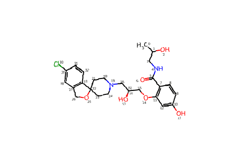 CC(O)CNC(=O)c1ccc(O)cc1OC[C@@H](O)CN1CCC2(CC1)OCc1cc(Cl)ccc12